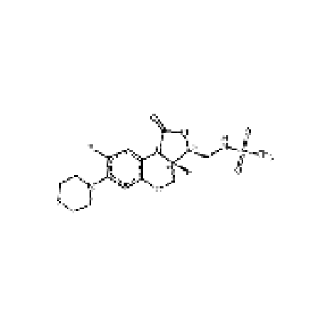 CS(=O)(=O)NC[C@@H]1OC(=O)N2c3cc(F)c(N4CCSCC4)cc3OC[C@@H]12